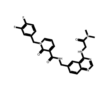 CN(C)C(=O)CNc1ncnc2ccc(CNC(=O)c3cccn(Cc4ccc(F)c(F)c4)c3=O)cc12